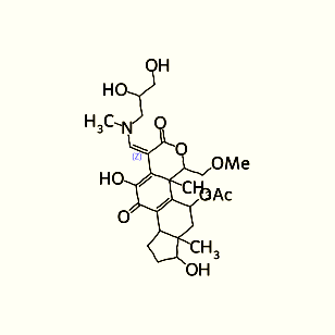 COCC1OC(=O)/C(=C\N(C)CC(O)CO)C2=C(O)C(=O)C3=C(C(OC(C)=O)CC4(C)C(O)CCC34)C21C